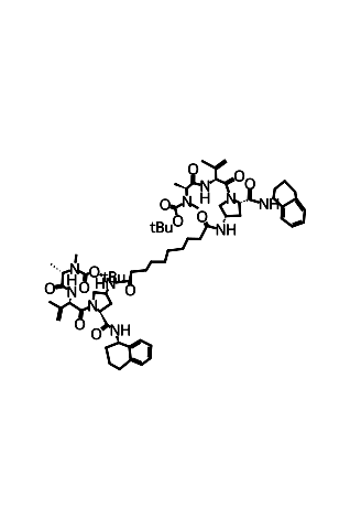 C=C(C)[C@H](NC(=O)[C@H](C)N(C)C(=O)OC(C)(C)C)C(=O)N1C[C@@H](NC(=O)CCCCCCCCC(=O)N[C@H]2C[C@@H](C(=O)N[C@@H]3CCCc4ccccc43)N(C(=O)[C@@H](NC(=O)[C@H](C)N(C)C(=O)OC(C)(C)C)C(=C)C)C2)C[C@H]1C(=O)N[C@@H]1CCCc2ccccc21